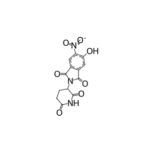 O=C1CCC(N2C(=O)c3cc(O)c([N+](=O)[O-])cc3C2=O)C(=O)N1